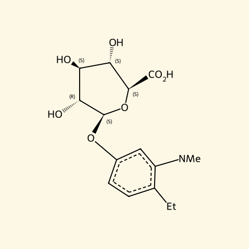 CCc1ccc(O[C@@H]2O[C@H](C(=O)O)[C@@H](O)[C@H](O)[C@H]2O)cc1NC